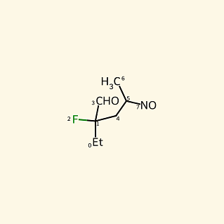 CCC(F)(C=O)CC(C)N=O